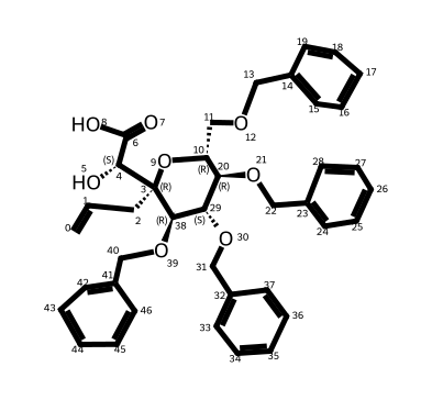 C=CC[C@]1([C@H](O)C(=O)O)O[C@H](COCc2ccccc2)[C@@H](OCc2ccccc2)[C@H](OCc2ccccc2)[C@H]1OCc1ccccc1